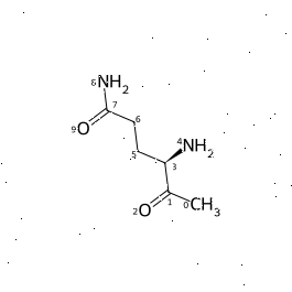 CC(=O)[C@H](N)CCC(N)=O